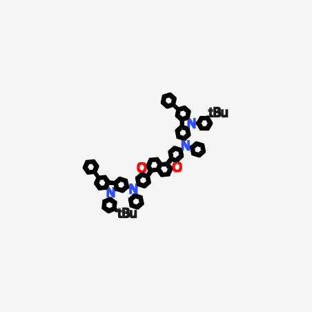 CC(C)(C)c1cccc(-n2c3ccc(-c4ccccc4)cc3c3ccc(N(c4ccccc4)c4ccc5c(c4)oc4ccc6c(ccc7oc8cc(N(c9ccccc9)c9ccc%10c%11cc(-c%12ccccc%12)ccc%11n(-c%11cccc(C(C)(C)C)c%11)c%10c9)ccc8c76)c45)cc32)c1